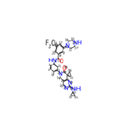 Cc1ccc(NC(=O)c2cc(N3CCNCC3)cc(C(F)(F)F)c2)cc1N1Cc2cnc(NC3CC3)nc2C2(CC2)C1=O